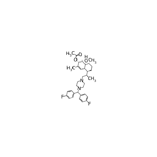 CC(=O)O[C@@H]1[C][C@]2(O)C(C=C1C)[C@H]([C@@H](C)CN1CCN(C(c3ccc(F)cc3)c3ccc(F)cc3)CC1)CC[C@H]2C